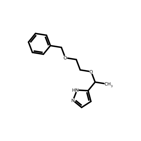 CC(OCCOCc1ccccc1)c1ccn[nH]1